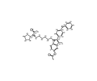 CC(=O)Oc1ccc2c(c1)c(C)c(-c1ccc(Sc3ccccc3)cc1)n2CCCCCCN(C(C)=O)C1CCCC1